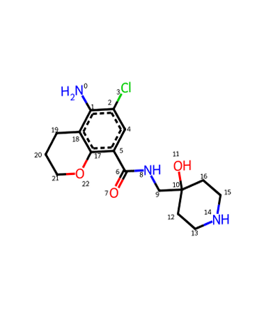 Nc1c(Cl)cc(C(=O)NCC2(O)CCNCC2)c2c1CCCO2